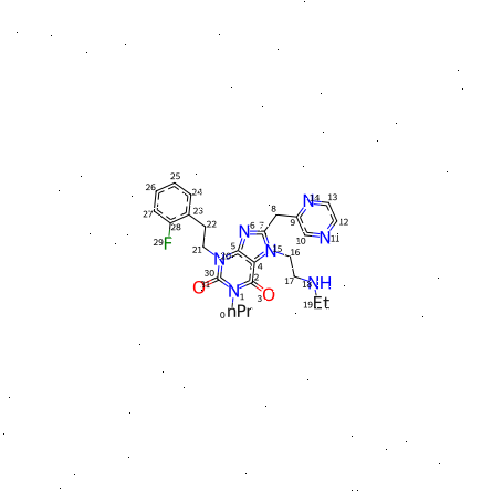 CCCn1c(=O)c2c(nc(Cc3cnccn3)n2CCNCC)n(CCc2ccccc2F)c1=O